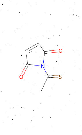 CC(=S)N1C(=O)C=CC1=O